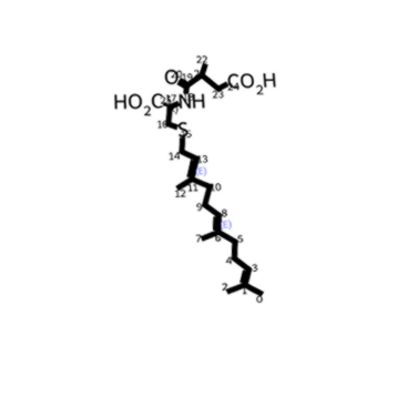 CC(C)=CCC/C(C)=C/CC/C(C)=C/CSC[C@H](NC(=O)C(C)CC(=O)O)C(=O)O